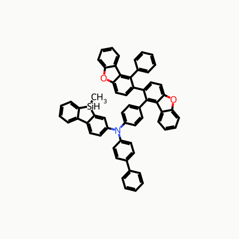 C[SiH]1c2ccccc2-c2ccc(N(c3ccc(-c4ccccc4)cc3)c3ccc(-c4c(-c5ccc6oc7ccccc7c6c5-c5ccccc5)ccc5oc6ccccc6c45)cc3)cc21